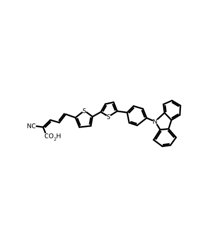 N#C/C(=C/C=C/c1ccc(-c2ccc(-c3ccc(-n4c5ccccc5c5ccccc54)cc3)s2)s1)C(=O)O